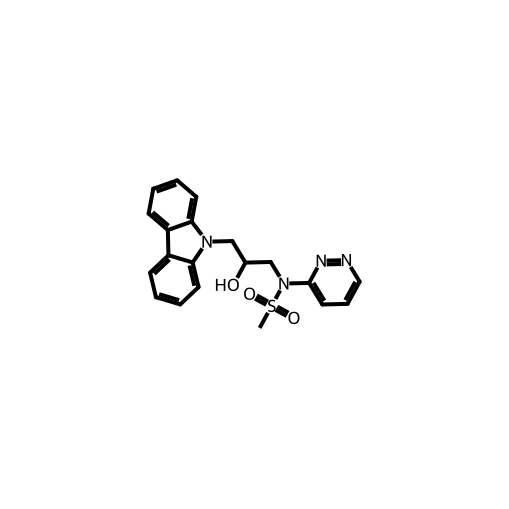 CS(=O)(=O)N(CC(O)Cn1c2ccccc2c2ccccc21)c1cccnn1